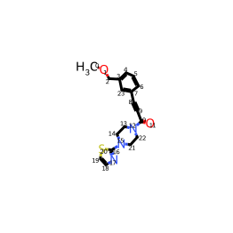 COCc1cccc(C#CC(=O)N2CCN(c3nccs3)CC2)c1